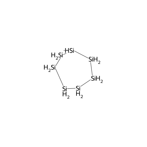 [SiH]1[SiH2][SiH2][SiH2][SiH2][SiH2][SiH2]1